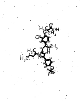 CCCC(C)n1nc(-c2ccc(OC(F)(F)F)cc2)cc1CC(NC)c1ccc(OC(C)(C)C(=O)O)c(Cl)c1